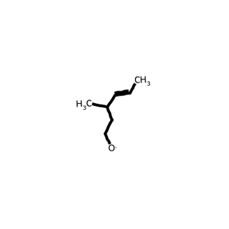 CC=CC(C)CC[O]